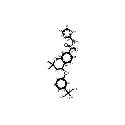 CC1(C)CC(Oc2cccc(C(F)(F)F)c2)c2ccc(S(=O)(=O)Nc3nccs3)cc2O1